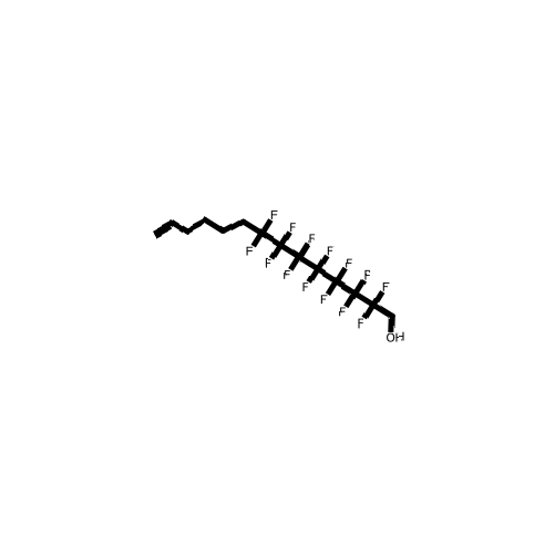 C=CCCCCC(F)(F)C(F)(F)C(F)(F)C(F)(F)C(F)(F)C(F)(F)C(F)(F)CO